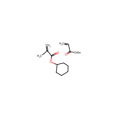 C=C(C)C(=O)OC1CCCCC1.C=CC(=O)OC